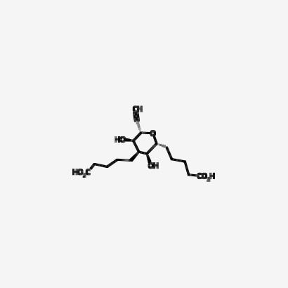 C#C[C@@H]1O[C@H](CCCCC(=O)O)[C@@H](O)[C@@H](CCCCC(=O)O)[C@H]1O